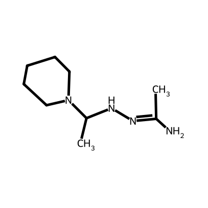 C/C(N)=N\NC(C)N1CCCCC1